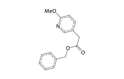 COc1ccc(CC(=O)OCc2ccccc2)cn1